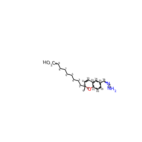 CC1(CCCCCCCCC(=O)O)C=Cc2cc(/C=N\N)ccc2O1